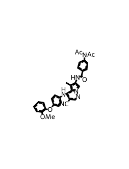 COc1ccccc1Oc1ccc(Nc2c(C#N)cnn3cc(NC(=O)c4ccc(N(C(C)=O)C(C)=O)cc4)c(C)c23)cc1